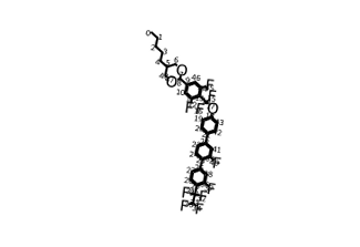 CCCCCC1COC(c2cc(F)c(C(F)(F)Oc3ccc(-c4ccc(-c5ccc(C(F)(F)C(F)F)c(F)c5)c(F)c4)cc3)c(F)c2)OC1